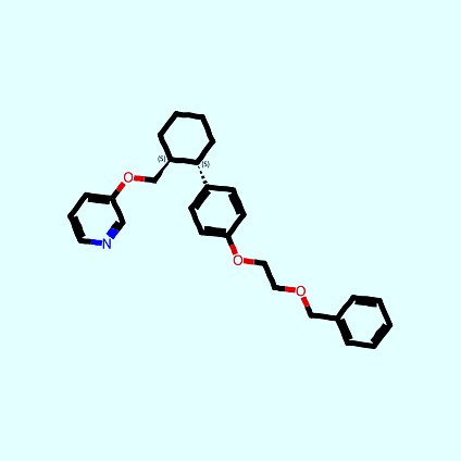 c1ccc(COCCOc2ccc([C@H]3CCCC[C@@H]3COc3cccnc3)cc2)cc1